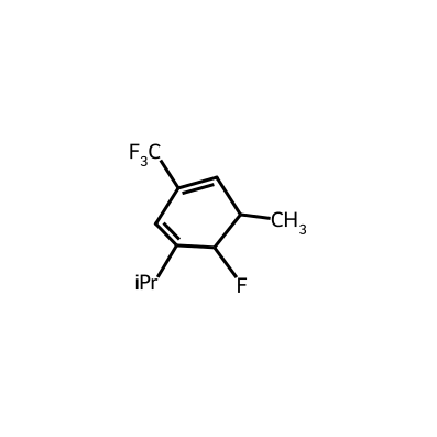 CC(C)C1=CC(C(F)(F)F)=CC(C)C1F